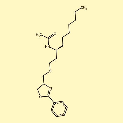 CCCCCCC[C@@H](CCOC[C@@H]1COC(c2ccccc2)=N1)NC(C)=O